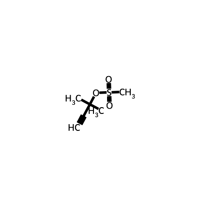 C#CC(C)(C)OS(C)(=O)=O